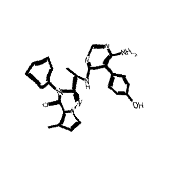 Cc1ccn2nc(C(C)Nc3ncnc(N)c3-c3ccc(O)cc3)n(-c3ccccc3)c(=O)c12